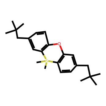 CC(C)(C)Cc1ccc2c(c1)Oc1ccc(CC(C)(C)C)cc1S2(C)C